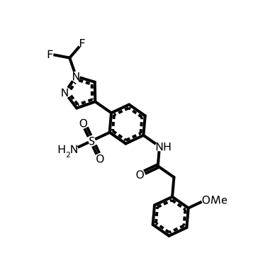 COc1ccccc1CC(=O)Nc1ccc(-c2cnn(C(F)F)c2)c(S(N)(=O)=O)c1